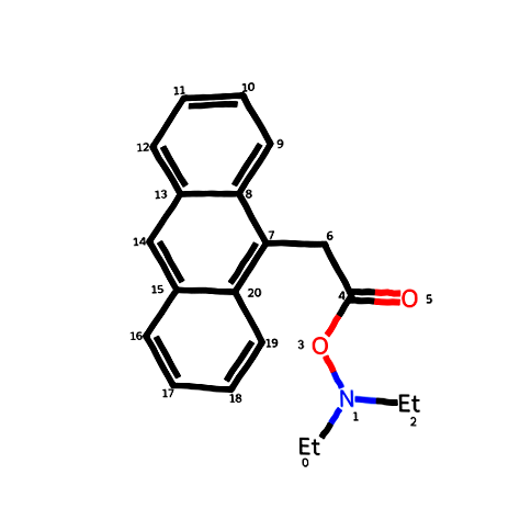 CCN(CC)OC(=O)Cc1c2ccccc2cc2ccccc12